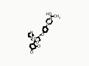 CC(O)N1CCN(c2ccc(OC[C@@H]3CO[C@@](Cn4ccnc4)(c4ccc(Cl)cc4Cl)O3)cc2)CC1